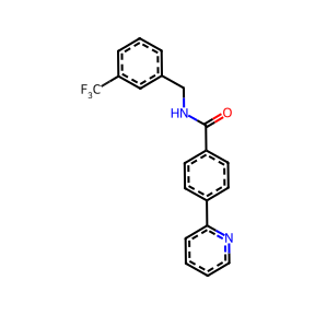 O=C(NCc1cccc(C(F)(F)F)c1)c1ccc(-c2ccccn2)cc1